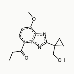 CCC(=O)c1ccc(OC)c2nc(C3(CO)CC3)nn12